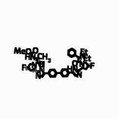 CCN(CC)[C@@H](C(=O)N1C[C@@H](F)CC1c1ncc(-c2ccc(-c3ccc(-c4cnc([C@@H]5C[C@H](F)CN5C(=O)[C@H](C)NC(=O)OC)[nH]4)cc3)cc2)[nH]1)c1ccccc1